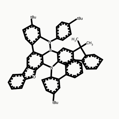 CC(C)(C)c1ccc(N2B3c4cc5c(cc4N(c4ccc(C(C)(C)C)cc4-c4ccccc4)c4c3c(cc3c4oc4ccccc43)-c3ccc(C(C)(C)C)cc32)-c2ccccc2C5(C)C)cc1